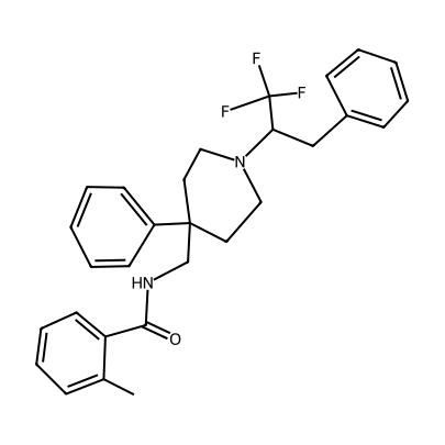 Cc1ccccc1C(=O)NCC1(c2ccccc2)CCN(C(Cc2ccccc2)C(F)(F)F)CC1